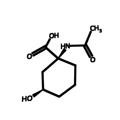 CC(=O)N[C@@]1(C(=O)O)CCC[C@@H](O)C1